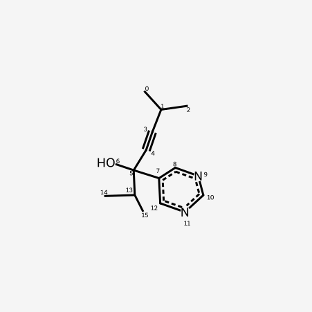 CC(C)C#CC(O)(c1cncnc1)C(C)C